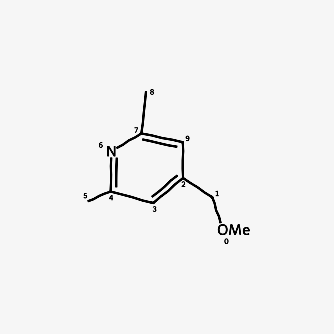 COCc1cc(C)nc(C)c1